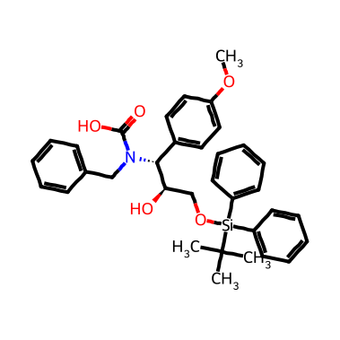 COc1ccc([C@H]([C@H](O)CO[Si](c2ccccc2)(c2ccccc2)C(C)(C)C)N(Cc2ccccc2)C(=O)O)cc1